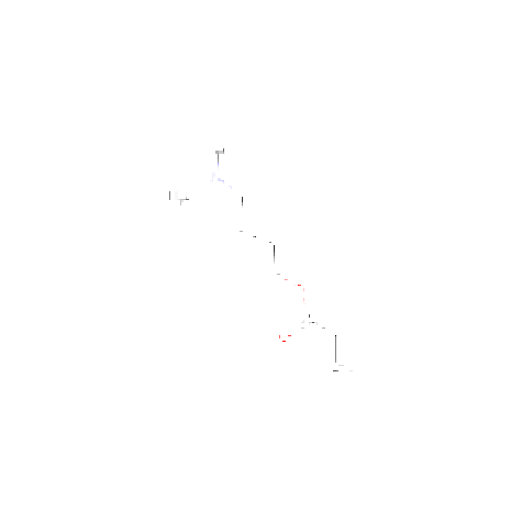 C=CC(=O)OCCCCN(C)CC